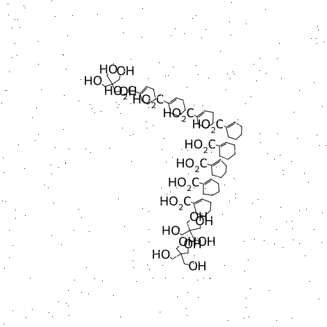 O=C(O)C1=CCCCC1.O=C(O)C1=CCCCC1.O=C(O)C1=CCCCC1.O=C(O)C1=CCCCC1.O=C(O)C1=CCCCC1.O=C(O)C1=CCCCC1.O=C(O)C1=CCCCC1.O=C(O)C1=CCCCC1.OCC(CO)(CO)CO.OCC(CO)(CO)CO.OCC(CO)(CO)CO